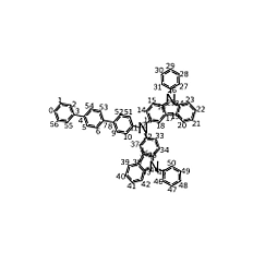 c1ccc(-c2ccc(-c3ccc(N(c4ccc5c(c4)c4ccccc4n5-c4ccccc4)c4ccc5c(c4)c4ccccc4n5-c4ccccc4)cc3)cc2)cc1